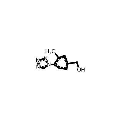 Cc1cc(CO)ccc1-n1cnnn1